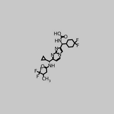 CC(CC(=O)N[C@@H](c1ccn2cc([C@@H](NC(=O)O)C3CCC(F)(F)CC3)nc2n1)C1CC1)C(F)(F)F